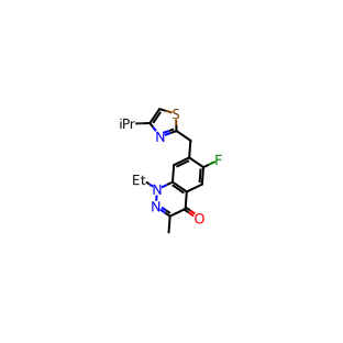 CCn1nc(C)c(=O)c2cc(F)c(Cc3nc(C(C)C)cs3)cc21